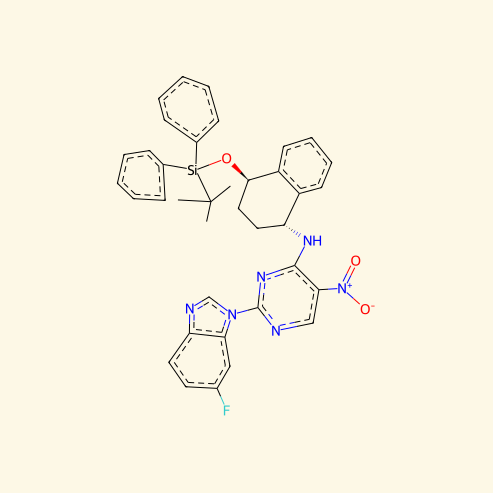 CC(C)(C)[Si](O[C@@H]1CC[C@@H](Nc2nc(-n3cnc4ccc(F)cc43)ncc2[N+](=O)[O-])c2ccccc21)(c1ccccc1)c1ccccc1